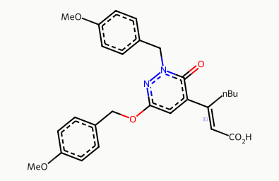 CCCC/C(=C\C(=O)O)c1cc(OCc2ccc(OC)cc2)nn(Cc2ccc(OC)cc2)c1=O